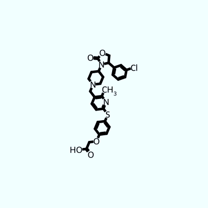 Cc1nc(Sc2ccc(OCC(=O)O)cc2)ccc1CN1CCC(N2C(=O)OCC2c2cccc(Cl)c2)CC1